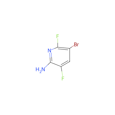 Nc1nc(F)c(Br)cc1F